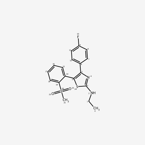 CCNc1nc(-c2ccc(F)cc2)c(-c2ccccc2S(C)(=O)=O)s1